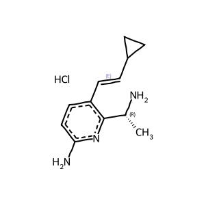 C[C@@H](N)c1nc(N)ccc1/C=C/C1CC1.Cl